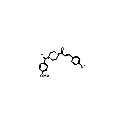 COc1ccc(C(=O)N2CCN(C(=O)/C=C/c3ccc(Br)cc3)CC2)cc1